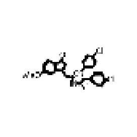 COc1ccc2c(c1)C(CC(=O)N[C@H](C)[C@H](Cc1ccc(Cl)cc1)c1ccc(Cl)cc1)CC2=O